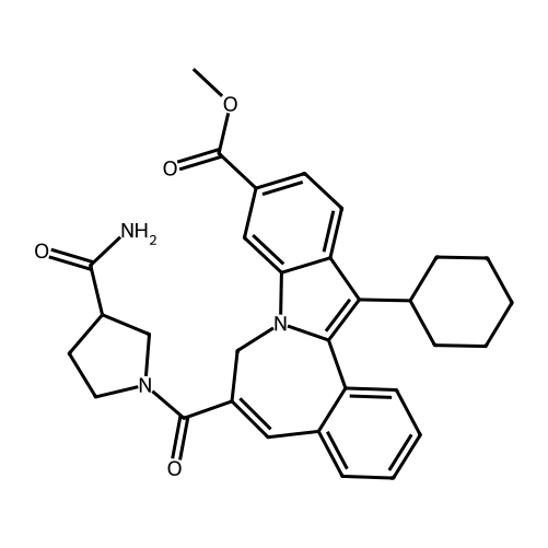 COC(=O)c1ccc2c(C3CCCCC3)c3n(c2c1)CC(C(=O)N1CCC(C(N)=O)C1)=Cc1ccccc1-3